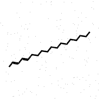 C/[C]=C/C=CCCCCCCCCCCCCC